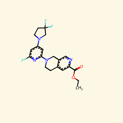 CCOC(=O)c1cc2c(cn1)CN(c1cc(N3CCC(F)(F)C3)cc(F)n1)CC2